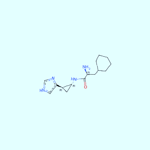 N[C@@H](CC1CCCCC1)C(=O)N[C@@H]1C[C@H]1c1c[nH]cn1